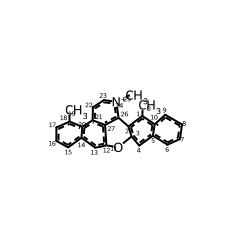 Cc1c2c(cc3ccccc13)Oc1cc3cccc(C)c3c3cc[n+](C)c-2c13